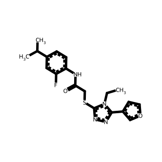 CCn1c(SCC(=O)Nc2ccc(C(C)C)cc2F)nnc1-c1ccoc1